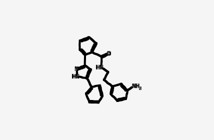 Nc1cccc(CCNC(=O)c2ccccc2-c2cc(-c3ccccc3)[nH]n2)c1